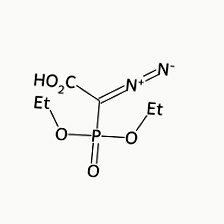 CCOP(=O)(OCC)C(=[N+]=[N-])C(=O)O